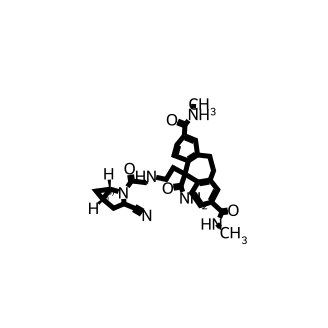 CNC(=O)c1ccc2c(c1)CCc1cc(C(=O)NC)ccc1C2(CCNCC(=O)N1C(C#N)C[C@@H]2C[C@@H]21)C(N)=O